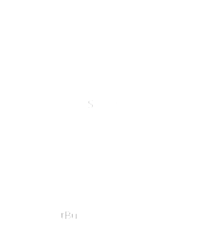 Cc1ccc([S+](c2ccc(C)cc2)c2ccc(C(C)(C)C)cc2)cc1